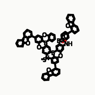 CSN1c2cc3c(cc2B2c4cc5c(cc4Oc4cc(-c6cccc7c6oc6ccccc67)cc1c42)Nc1cc(-c2cccc4c2oc2ccccc24)cc2c1B5c1ccccc1O2)B1c2ccccc2Oc2cc(-c4cccc5c4oc4ccccc45)cc(c21)O3